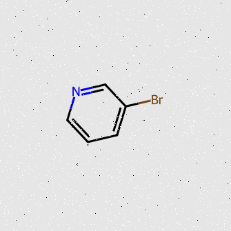 Brc1c[c]cnc1